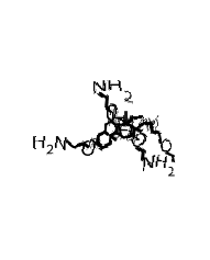 CCCOCCC[C@@H](C)[C@H]1CC[C@H]2C3[C@H](OCCCN)CC4C[C@H](OCCCN)CCC4(C)[C@H]3C[C@H](OCCCN)C12C